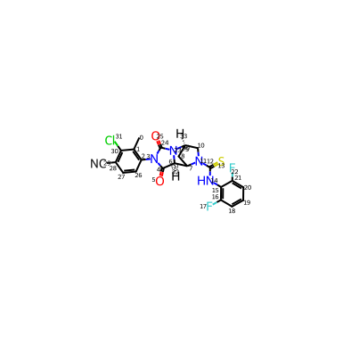 Cc1c(N2C(=O)[C@@H]3C4C[C@H](CN4C(=S)Nc4c(F)cccc4F)N3C2=O)ccc(C#N)c1Cl